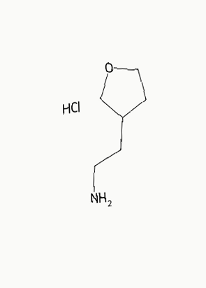 Cl.NCCC1CCOC1